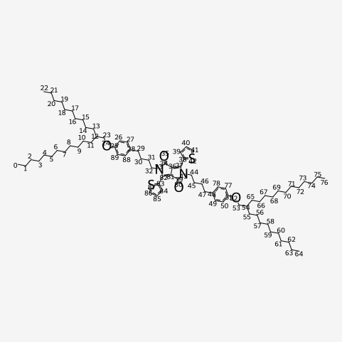 CCCCCCCCCCCCC(CCCCCCCCCC)COc1ccc(CCCCN2C(=O)C3=C(c4cccs4)N(CCCCc4ccc(OCC(CCCCCCCCCC)CCCCCCCCCCCC)cc4)C(=O)C3=C2c2cccs2)cc1